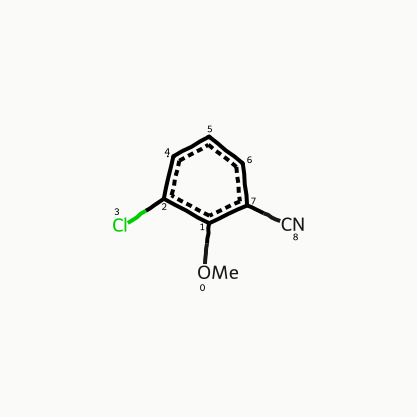 COc1c(Cl)[c]ccc1C#N